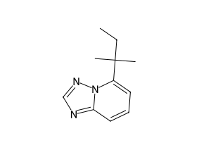 CCC(C)(C)c1cccc2ncnn12